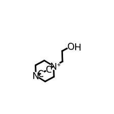 OCC[N+]12CCN(CC1)CC2